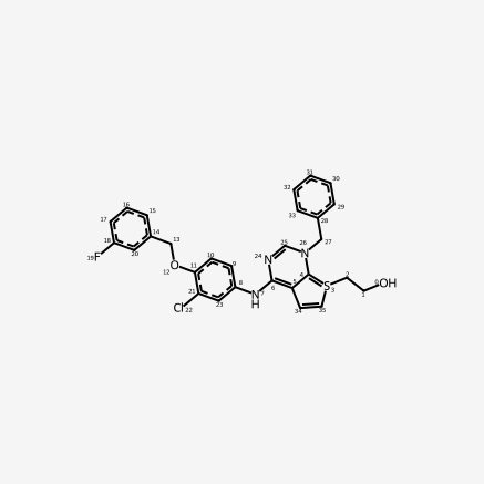 OCCS1=C2C(=C(Nc3ccc(OCc4cccc(F)c4)c(Cl)c3)N=CN2Cc2ccccc2)C=C1